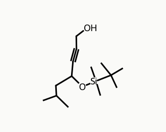 CC(C)CC(C#CCO)O[Si](C)(C)C(C)(C)C